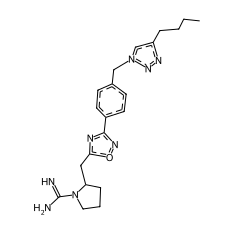 CCCCc1cn(Cc2ccc(-c3noc(CC4CCCN4C(=N)N)n3)cc2)nn1